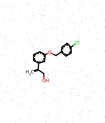 C=C(CO)c1cccc(OCc2ccc(Cl)cc2)c1